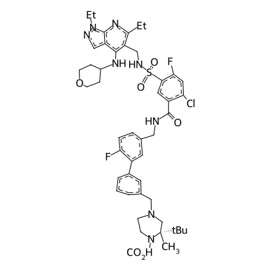 CCc1nc2c(cnn2CC)c(NC2CCOCC2)c1CNS(=O)(=O)c1cc(C(=O)NCc2ccc(F)c(-c3cccc(CN4CCN(C(=O)O)[C@@](C)(C(C)(C)C)C4)c3)c2)c(Cl)cc1F